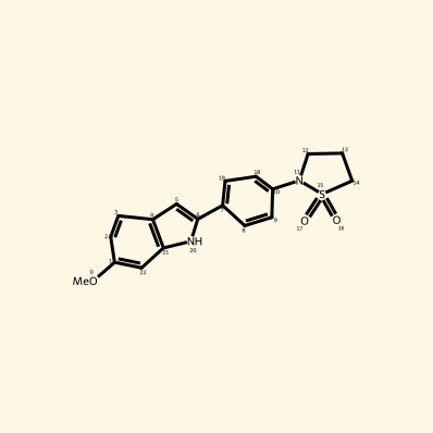 COc1ccc2cc(-c3ccc(N4CCCS4(=O)=O)cc3)[nH]c2c1